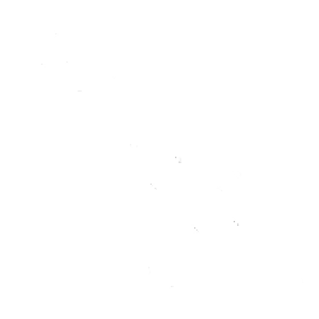 O=C1c2c(nc(Oc3cccc(OC(F)(F)F)c3)n2Cc2ccc(F)cc2)N(CCC(F)(F)F)CN1CCCO